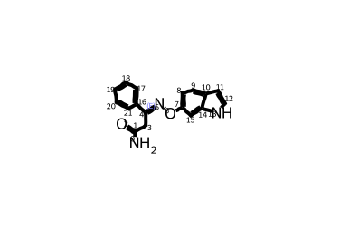 NC(=O)C/C(=N\Oc1ccc2cc[nH]c2c1)c1ccccc1